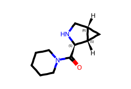 O=C([C@H]1NC[C@@H]2C[C@@H]21)N1CCCCC1